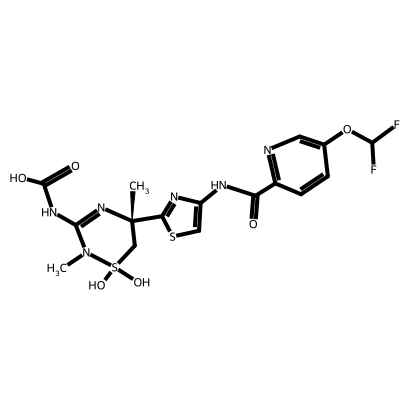 CN1C(NC(=O)O)=N[C@](C)(c2nc(NC(=O)c3ccc(OC(F)F)cn3)cs2)CS1(O)O